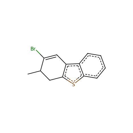 CC1Cc2sc3ccccc3c2C=C1Br